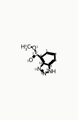 COS(=O)c1cccc2[nH]nnc12